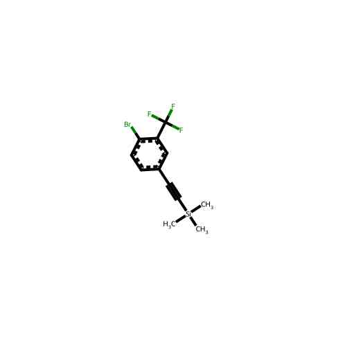 C[Si](C)(C)C#Cc1ccc(Br)c(C(F)(F)F)c1